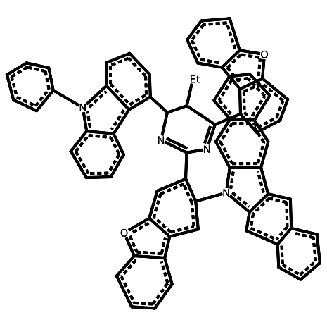 CCC1C(c2cccc3oc4ccccc4c23)=NC(c2cc3oc4ccccc4c3cc2-n2c3cc4ccccc4cc3c3cc4ccccc4cc32)=NC1c1cccc2c1c1ccccc1n2-c1ccccc1